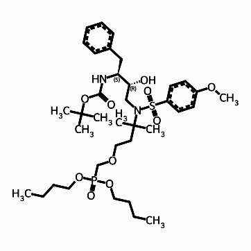 CCCCOP(=O)(COCCC(C)(C)N(C[C@@H](O)[C@H](Cc1ccccc1)NC(=O)OC(C)(C)C)S(=O)(=O)c1ccc(OC)cc1)OCCCC